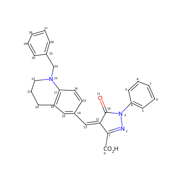 O=C(O)C1=NN(c2ccccc2)C(=O)/C1=C\c1ccc2c(c1)CCCN2Cc1ccccc1